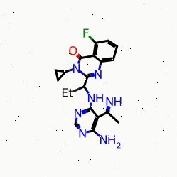 CCC(Nc1ncnc(N)c1C(C)=N)c1nc2cccc(F)c2c(=O)n1C1CC1